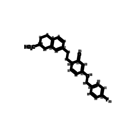 O=C(O)N1CCc2ccc(CCn3ccc(OCc4ccc(F)cn4)cc3=O)cc2C1